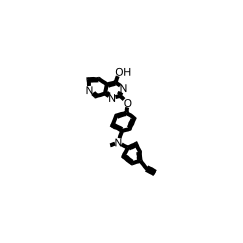 C#Cc1ccc(N(C)c2ccc(Oc3nc(O)c4ccncc4n3)cc2)cc1